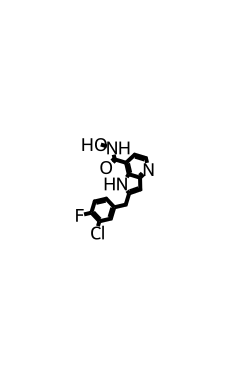 O=C(NO)c1ccnc2cc(Cc3ccc(F)c(Cl)c3)[nH]c12